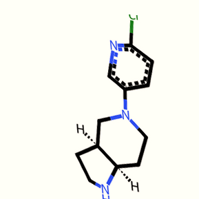 Clc1ccc(N2CC[C@H]3NCC[C@H]3C2)cn1